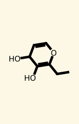 CCC1=C(O)C(O)C=CO1